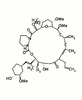 C=CCC1/C=C(\C)C[C@H](C)C[C@H](OC)C2O[C@@](O)(C(=O)C(=O)N3CCCC[C@H]3C(=O)O[C@H](/C(C)=C/[C@@H]3CC[C@@H](O)[C@H](OC)C3)[C@H](C)[C@@H](O)CC1=O)[C@H](C)C[C@@H]2OC